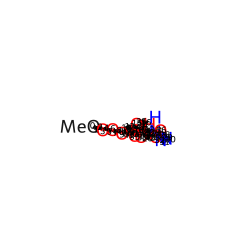 COCCOCCOCCOc1ccc2c(O)c(C(c3cccc(NS(=O)(=O)c4cn(C)cn4)c3)C3CC3)c(=O)oc2c1